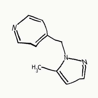 Cc1ccnn1Cc1ccncc1